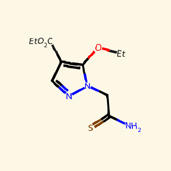 CCOC(=O)c1cnn(CC(N)=S)c1OCC